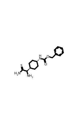 NC(=S)C(N)[C@H]1CC[C@H](NC(=O)OCc2ccccc2)CC1